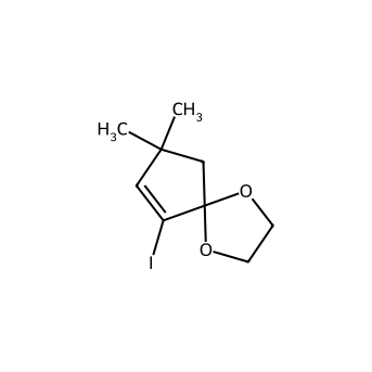 CC1(C)C=C(I)C2(C1)OCCO2